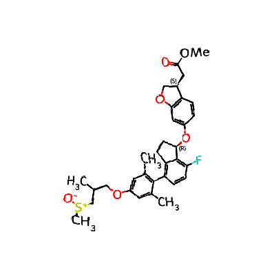 COC(=O)C[C@@H]1COc2cc(O[C@@H]3CCc4c(-c5c(C)cc(OCC(C)C[S+](C)[O-])cc5C)ccc(F)c43)ccc21